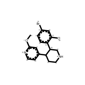 COc1cc(C2CCNCC2c2ccc(Br)cc2Cl)ccn1